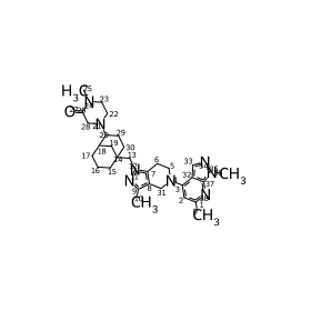 Cc1cc(N2CCc3c(c(C)nn3CC34CCCC(C3)C(N3CCN(C)C(=O)C3)CC4)C2)c2cnn(C)c2n1